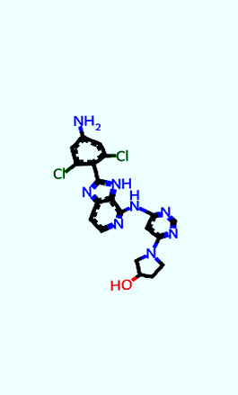 Nc1cc(Cl)c(-c2nc3ccnc(Nc4cc(N5CCC(O)C5)ncn4)c3[nH]2)c(Cl)c1